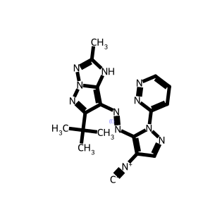 [C-]#[N+]c1cnn(-c2cccnn2)c1/N=N/c1c(C(C)(C)C)nn2nc(C)[nH]c12